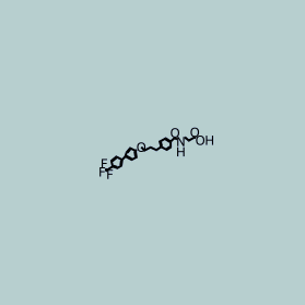 O=C(O)CCNC(=O)c1ccc(CCCOc2ccc(-c3ccc(C(F)(F)F)cc3)cc2)cc1